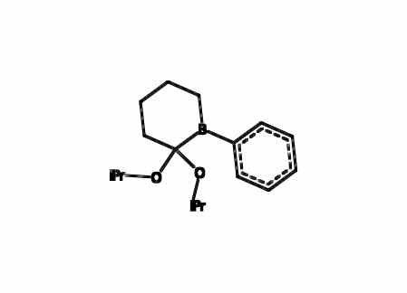 CC(C)OC1(OC(C)C)CCCCB1c1ccccc1